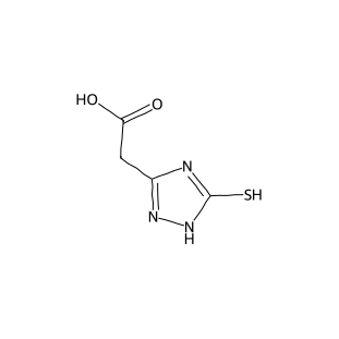 O=C(O)Cc1n[nH]c(S)n1